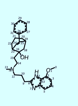 COc1cccc2nc(CCCN(C)CCC3(O)CC4CCCC3C=C4c3ccccc3)[nH]c12